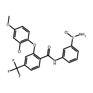 COc1ccc(Oc2cc(C(F)(F)F)ccc2C(=O)Nc2cccc([S+](N)[O-])c2)c(Cl)c1